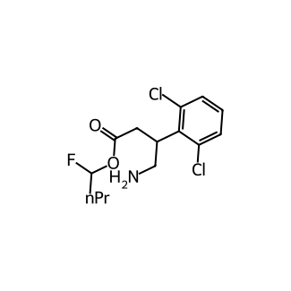 CCCC(F)OC(=O)CC(CN)c1c(Cl)cccc1Cl